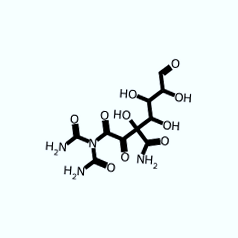 NC(=O)N(C(N)=O)C(=O)C(=O)C(O)(C(N)=O)C(O)C(O)C(O)C=O